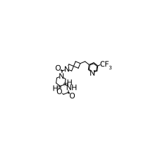 O=C1CO[C@H]2CCN(C(=O)N3CC4(CC(Cc5cncc(C(F)(F)F)c5)C4)C3)C[C@H]2N1